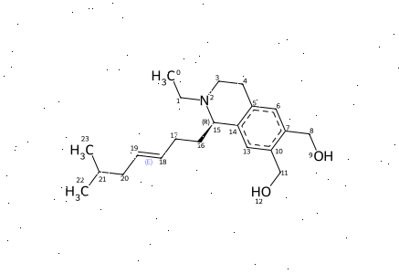 CCN1CCc2cc(CO)c(CO)cc2[C@H]1CC/C=C/CC(C)C